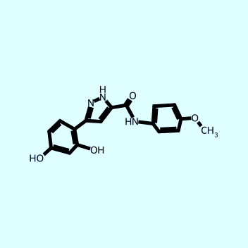 COc1ccc(NC(=O)c2cc(-c3ccc(O)cc3O)n[nH]2)cc1